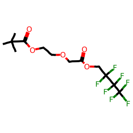 CC(C)(C)C(=O)OCCOCC(=O)OCC(F)(F)C(F)(F)C(F)(F)F